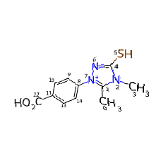 Cc1n(C)c(S)n[n+]1-c1ccc(C(=O)O)cc1